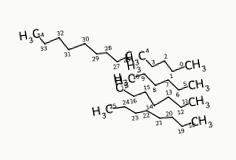 CCCCC.CCCCCC.CCCCCCC.CCCCCCCC.CCCCCCCCC